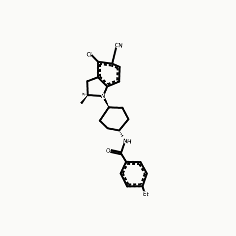 CCc1ccc(C(=O)N[C@H]2CC[C@H](N3c4ccc(C#N)c(Cl)c4C[C@@H]3C)CC2)cc1